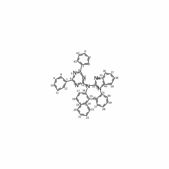 c1ccc(-c2nc(-c3ccccc3)nc(N3c4ccc5ccccc5c4-c4ccccc4-n4c3nc3ccccc34)n2)cc1